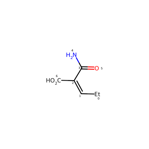 CC/C=C(\C(N)=O)C(=O)O